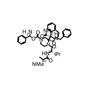 CN[C@@H](C)C(=O)N[C@H](C(=O)N1CCN(C(=O)OC(N)c2ccccc2)C[C@]1(C(=O)NCc1ccccc1)[C@]1(C(N)=O)CCCc2ccccc21)C(C)C